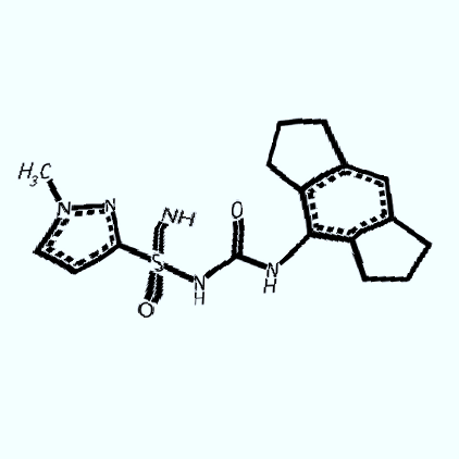 Cn1ccc(S(=N)(=O)NC(=O)Nc2c3c(cc4c2CCC4)CCC3)n1